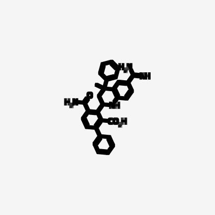 CC1(c2ccccc2)CC(c2c(C(N)=O)ccc(-c3ccccc3)c2C(=O)O)Nc2ccc(C(=N)N)cc21